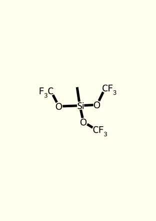 C[Si](OC(F)(F)F)(OC(F)(F)F)OC(F)(F)F